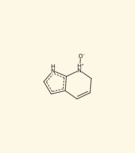 [O-][NH+]1CC=Cc2cc[nH]c21